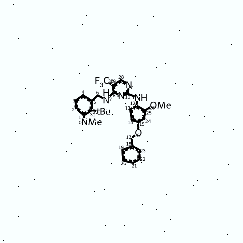 CNc1cccc(CNc2nc(Nc3ccc(OCc4ccccc4)cc3OC)ncc2C(F)(F)F)c1C(C)(C)C